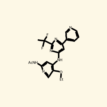 CCOc1cnc(NC(C)=O)cc1Nc1cc(-c2cccnc2)nc(C(C)(F)F)n1